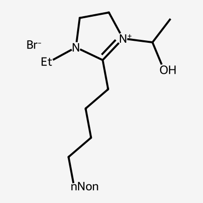 CCCCCCCCCCCCCC1=[N+](C(C)O)CCN1CC.[Br-]